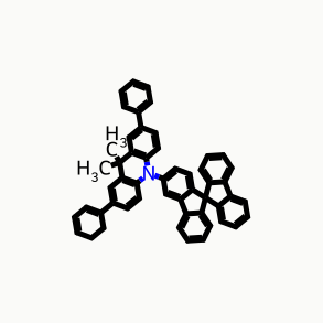 CC1(C)c2cc(C3=CC=CCC3)ccc2N(c2ccc3c(c2)-c2ccccc2C32c3ccccc3-c3ccccc32)c2ccc(-c3ccccc3)cc21